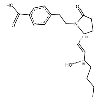 CCCC[C@H](O)C=C[C@H]1CCC(=O)N1CCc1ccc(C(=O)O)cc1